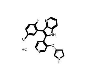 Cl.Fc1ccc(Cl)cc1-c1c(-c2ccncc2O[C@@H]2CCNC2)[nH]c2cccnc12